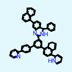 C1=CNC(c2ccc(-c3cc(C4=Nc5cc(-c6cccc7ccccc67)ccc5C(c5ccccc5)N4)cc(-c4ccc(-c5ccccn5)cc4)c3)c3c2C=CCC3)C=C1